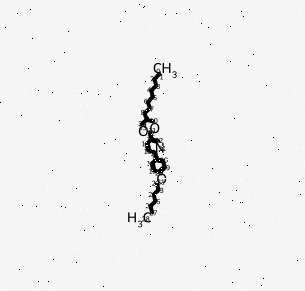 CCCCCCCCCC1COC(c2ccc(-c3ccc(OCCCCCCC)cc3)nc2)OC1